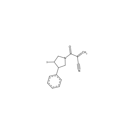 C=C(C#N)C(=O)N1CC(I)C(c2ccccc2)C1